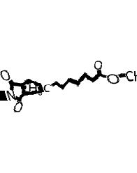 CCCCCCCC(=O)OCC.O=C1NC(=O)c2ccccc21